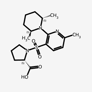 Cc1ccc(S(=O)(=O)N2CCC[C@H]2C(=O)O)c(N2[C@@H](C)CCC[C@@H]2C)n1